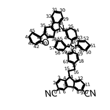 N#Cc1ccc2c(c1)-c1cc(C#N)ccc1C2CCc1ccc([Si](C2=CCCC(n3c4ccccc4c4cc5c(cc43)oc3ccccc35)=C2)(c2ccccc2)c2ccccc2)cc1